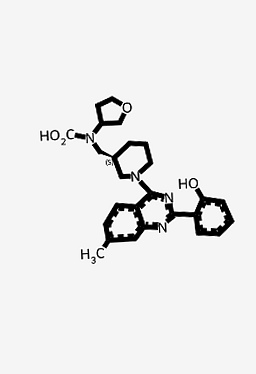 Cc1ccc2c(N3CCC[C@H](CN(C(=O)O)C4CCOC4)C3)nc(-c3ccccc3O)nc2c1